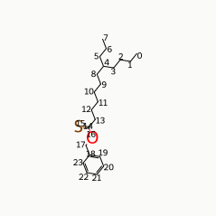 CCCCC(CCC)CCCCCCC(=S)OCc1ccccc1